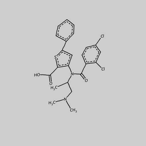 CC(CN(C)C)N(C(=O)c1ccc(Cl)cc1Cl)c1cc(-c2ccccc2)sc1C(=O)O